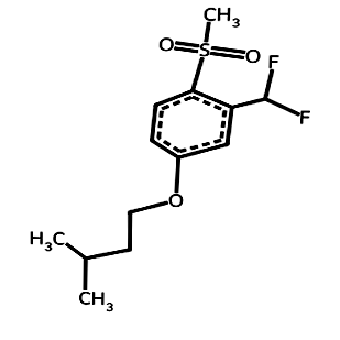 CC(C)CCOc1ccc(S(C)(=O)=O)c(C(F)F)c1